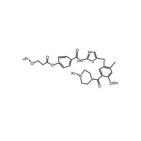 CCCOCCC(=O)Oc1ccc(C(=O)Nc2ncc(Sc3cc(C(=O)N4CCN(C(C)=O)CC4)c(OC)cc3C)s2)cc1